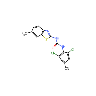 N#Cc1cc(Cl)c(NC(=O)Nc2nc3ccc(C(F)(F)F)cc3s2)c(Cl)c1